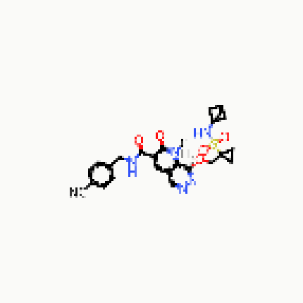 Cn1c(=O)c(C(=O)NCc2ccc(C#N)cc2)cc2cnnc(OCC3(S(=O)(=O)NC45CC(C4)C5)CC3)c21